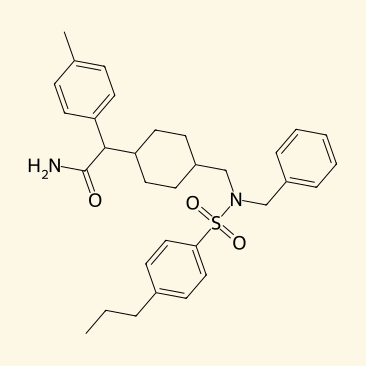 CCCc1ccc(S(=O)(=O)N(Cc2ccccc2)CC2CCC(C(C(N)=O)c3ccc(C)cc3)CC2)cc1